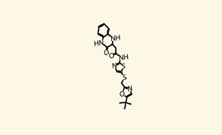 CC(C)(C)c1cnc(CSc2cnc(NC(=O)CC3Nc4ccccc4NC3=O)s2)o1